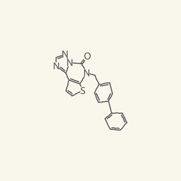 O=c1n(Cc2ccc(-c3ccccc3)cc2)c2sccc2c2ncnn12